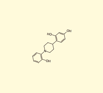 Oc1ccc(C2CCN(c3ccc[c]c3O)CC2)c(O)c1